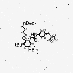 Br.CCCCCCCCCCCCCCOc1c(CC(=O)Nc2ccc(CN3C=CSC3)cc2)cccc1C(C)(C)C